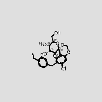 CCc1ccc(Cc2cc3c(cc2Cl)OCO[C@]32O[C@H](CO)[C@@H](O)[C@H](O)[C@H]2O)cc1